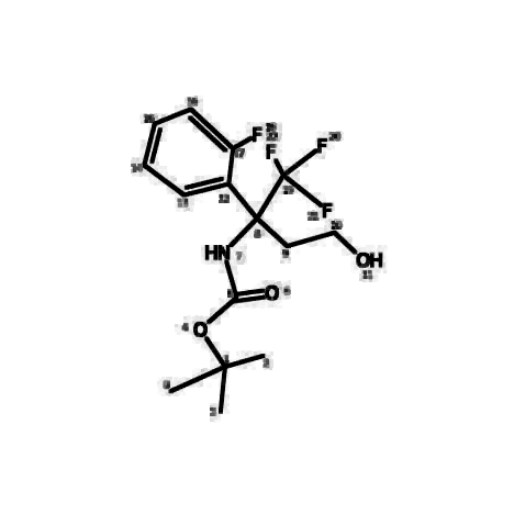 CC(C)(C)OC(=O)NC(CCO)(c1ccccc1F)C(F)(F)F